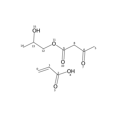 C=CC(=O)O.CC(=O)CC(=O)OCC(C)O